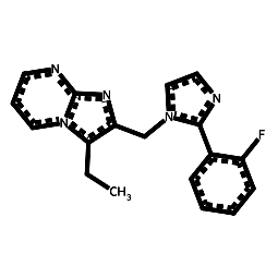 CCc1c(Cn2ccnc2-c2ccccc2F)nc2ncccn12